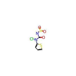 O=C(N=S(=O)=O)N(Cl)c1cccs1